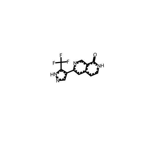 O=c1[nH]ccc2cc(-c3cn[nH]c3C(F)(F)F)ncc12